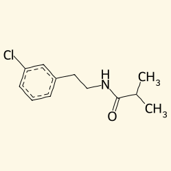 CC(C)C(=O)NCCc1cccc(Cl)c1